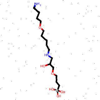 NCCCCOCCCCCNCC(O)COCCC[Si](O)(O)O